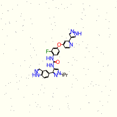 CC(C)n1cc(NC(=O)Nc2ccc(Oc3ccnc(-c4cn[nH]c4)c3)cc2F)c(-c2ccc3[nH]ncc3c2)n1